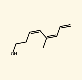 C=C/C=C(C)\C=C/CCO